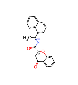 C/C(=N\C(=O)[C@H]1CC(=O)c2ccccc2O1)c1cccc2ccccc12